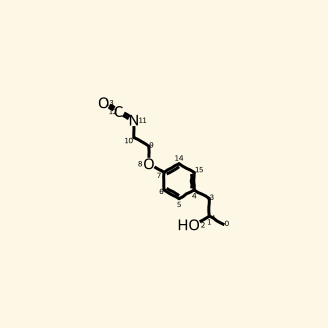 C[C](O)Cc1ccc(OCCN=C=O)cc1